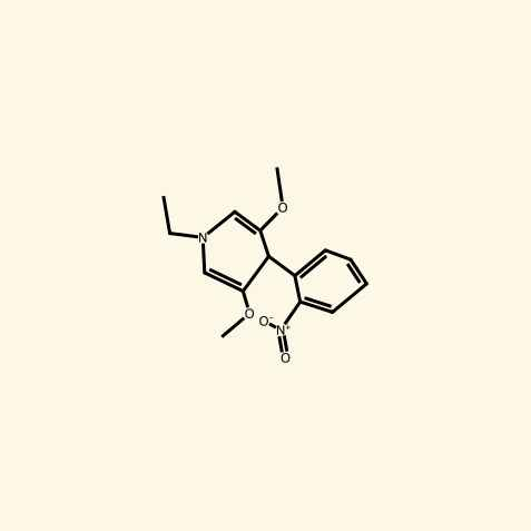 CCN1C=C(OC)C(c2ccccc2[N+](=O)[O-])C(OC)=C1